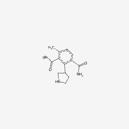 CCCC(=O)c1c(C)ccc(C(N)=O)c1C1CCNC1